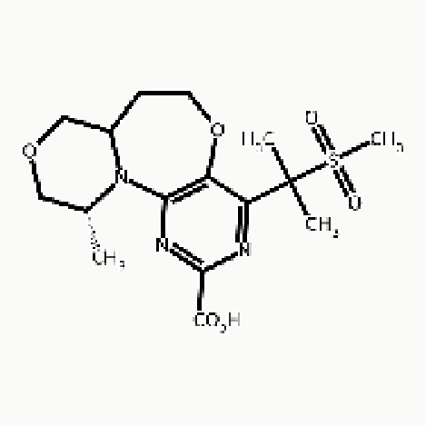 C[C@@H]1COCC2CCOc3c(nc(C(=O)O)nc3C(C)(C)S(C)(=O)=O)N21